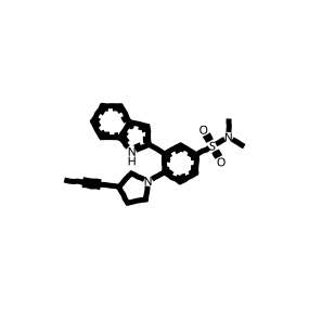 CC#CC1CCN(c2ccc(S(=O)(=O)N(C)C)cc2-c2cc3ccccc3[nH]2)C1